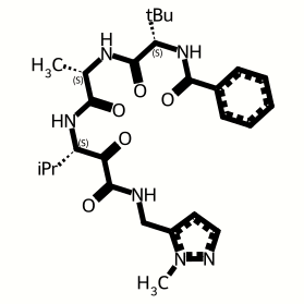 CC(C)[C@H](NC(=O)[C@H](C)NC(=O)[C@@H](NC(=O)c1ccccc1)C(C)(C)C)C(=O)C(=O)NCc1ccnn1C